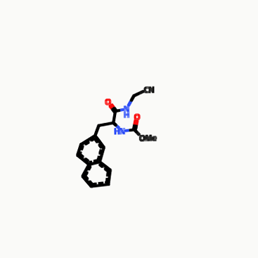 COC(=O)NC(Cc1ccc2ccccc2c1)C(=O)NCC#N